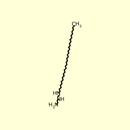 CCCCCCCCCCCCCCCCCCCCCCCCCCCCCCCCCCCCNCCNCCN